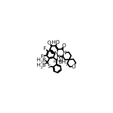 BC1(B)Sc2ccccc2[C@](B)(N2[C@@H]3CC4(CCOCC4)CCN3C(=O)c3c(O)c(=O)ccn32)c2ccc(F)c(F)c21